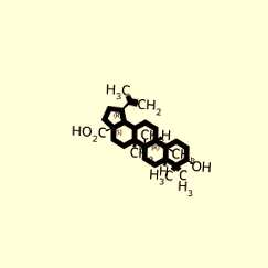 C=C(C)[C@@H]1CC[C@]2(C(=O)O)CC[C@]3(C)C(CC[C@@H]4[C@@]5(C)CC[C@H](O)C(C)(C)[C@@H]5CC[C@]43C)C12